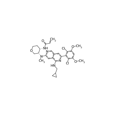 C=CC(=O)N[C@H]1CCOC[C@H]1N(C)c1cc2c(NCC3CC3)nc(-c3c(Cl)c(OC)cc(OC)c3Cl)cc2cn1